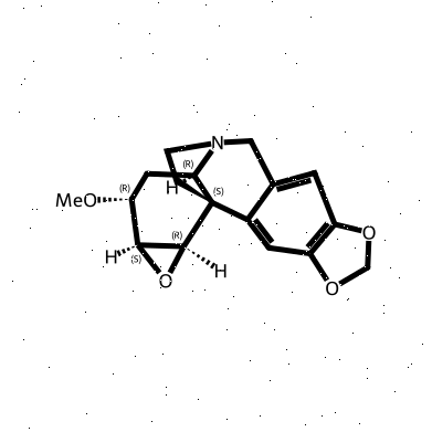 CO[C@@H]1C[C@H]2N3CC[C@@]2(c2cc4c(cc2C3)OCO4)[C@H]2O[C@@H]12